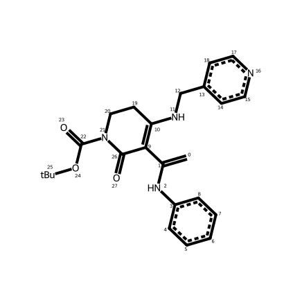 C=C(Nc1ccccc1)C1=C(NCc2ccncc2)CCN(C(=O)OC(C)(C)C)C1=O